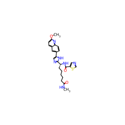 CNC(=O)CCCCC[C@H](NC(=O)c1cncs1)c1ncc(-c2ccc3nc(OC)ccc3c2)[nH]1